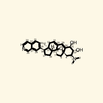 CN(C)[C@H]1C[C@@]23CC[C@@]4(O2)C(=CC[C@@]2(C)[C@H]4CC[C@H]2c2ccc4ccncc4c2)C=C3[C@@H](O)[C@@H]1O